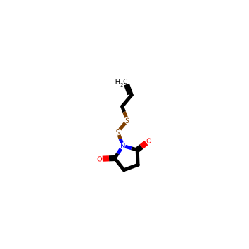 C=CCSSN1C(=O)CCC1=O